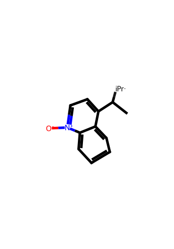 C[C](C)C(C)c1cc[n+]([O-])c2ccccc12